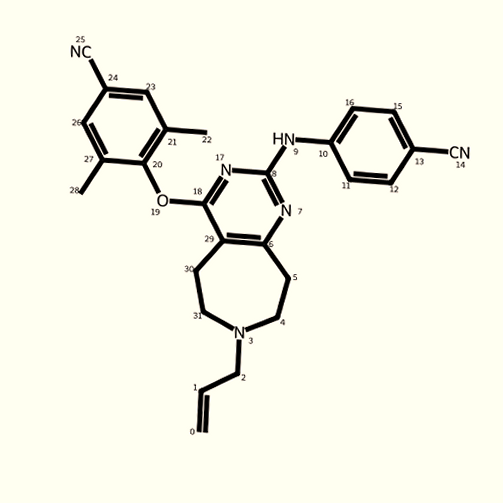 C=CCN1CCc2nc(Nc3ccc(C#N)cc3)nc(Oc3c(C)cc(C#N)cc3C)c2CC1